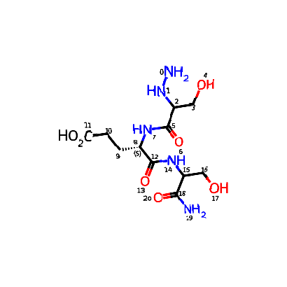 NNC(CO)C(=O)N[C@@H](CCC(=O)O)C(=O)NC(CO)C(N)=O